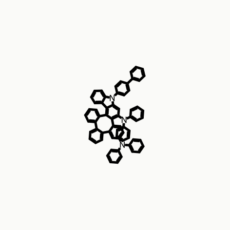 c1ccc(-c2ccc(-n3c4ccccc4c4c5c(c(N(c6ccccc6)c6ccccc6)cc43)-c3ccc(N(c4ccccc4)c4ccccc4)cc3-c3ccccc3-c3ccccc3-5)cc2)cc1